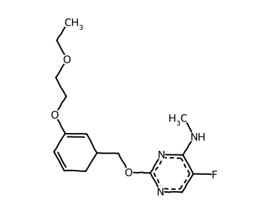 CCOCCOC1=CC(COc2ncc(F)c(NC)n2)CC=C1